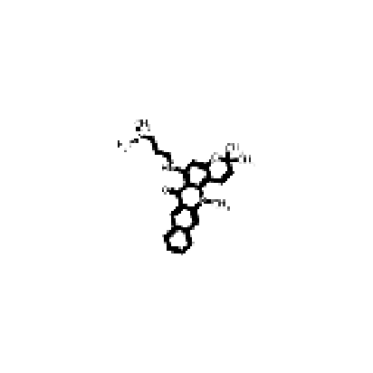 CN(C)CCCNc1cc2c(c3c1c(=O)c1cc4ccccc4cc1n3C)C=CC(C)(C)O2